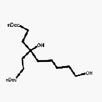 CCCCCCCCCCCCC(O)(CCCCCO)CCCCCCCCCCCC